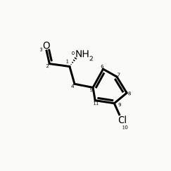 N[C@@H](C=O)Cc1cccc(Cl)c1